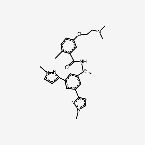 Cc1ccc(OCCN(C)C)cc1C(=O)N[C@H](C)c1cc(-c2ccn(C)n2)cc(-c2ccn(C)n2)c1